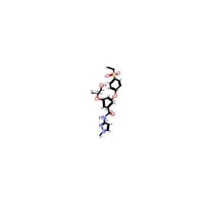 CCS(=O)(=O)c1ccc(Oc2cc(O[C@@H](C)CO)cc(C(=O)Nc3ccn(C)n3)c2)cc1